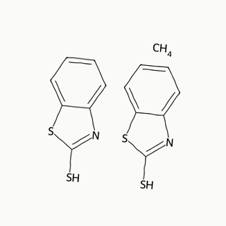 C.Sc1nc2ccccc2s1.Sc1nc2ccccc2s1